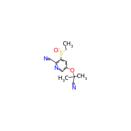 CC[S@@+]([O-])c1cc(OC(C)(C)C#N)cnc1C#N